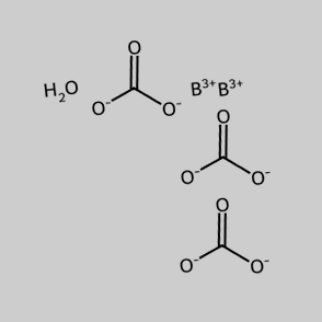 O.O=C([O-])[O-].O=C([O-])[O-].O=C([O-])[O-].[B+3].[B+3]